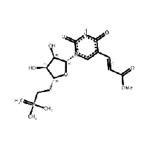 C=P(C)(C)CC[C@H]1O[C@@H](n2cc(/C=C/C(=O)OC)c(=O)[nH]c2=O)[C@H](O)[C@@H]1O